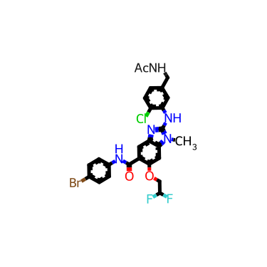 CC(=O)NCc1ccc(Cl)c(Nc2nc3cc(C(=O)Nc4ccc(Br)cc4)c(OCC(F)F)cc3n2C)c1